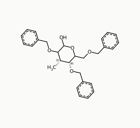 C[C@@H]1C(OCc2ccccc2)C(O)OC(COCc2ccccc2)[C@@H]1OCc1ccccc1